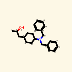 CC(O)CC1CCC(N(Cc2ccccc2)Cc2ccccc2)CC1